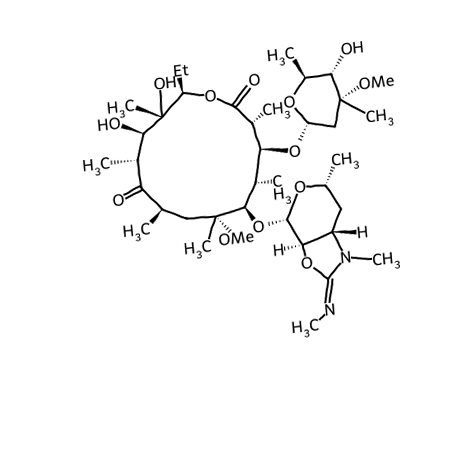 CC[C@H]1OC(=O)[C@H](C)[C@@H](O[C@H]2C[C@@](C)(OC)[C@@H](O)[C@H](C)O2)[C@H](C)[C@@H](O[C@@H]2O[C@H](C)C[C@H]3[C@H]2OC(=NC)N3C)[C@](C)(OC)C[C@@H](C)C(=O)[C@H](C)[C@@H](O)[C@]1(C)O